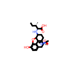 CC[C@H](C)[C@H](NC1CC[C@@]2(OC)[C@H]3Cc4ccc(O)c5c4[C@@]2(CCN3C)C1O5)C(=O)O